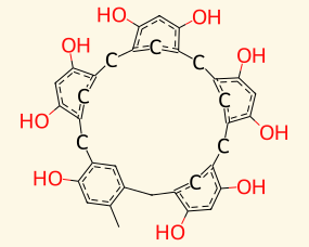 Cc1cc(O)c2cc1Cc1cc(c(O)cc1O)Cc1cc(c(O)cc1O)Cc1cc(c(O)cc1O)Cc1cc(c(O)cc1O)C2